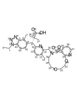 CCn1nnc2c(C)c([C@@H](c3ccc(C)c(CN4CCCOCCOc5ncccc5S4(=O)=O)n3)C(C)(C)C(=O)O)ccc21